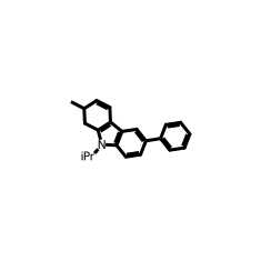 CC1C=Cc2c(n(C(C)C)c3ccc(-c4ccccc4)cc23)C1